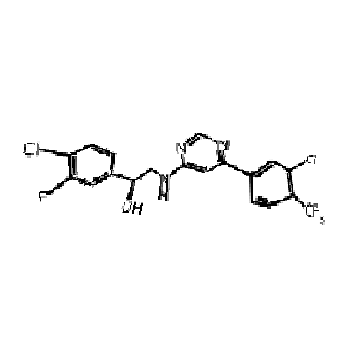 O[C@H](CNc1cc(-c2ccc(C(F)(F)F)c(Cl)c2)ncn1)c1ccc(Cl)c(F)c1